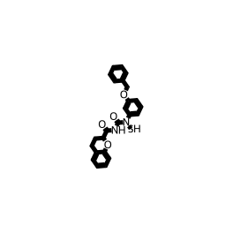 O=C(NC(=O)N(S)c1cccc(OCc2ccccc2)c1)C1CCc2ccccc2O1